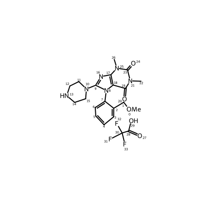 COCc1ccccc1-n1c(N2CCNCC2)nc2c1c(=O)n(C)c(=O)n2C.O=C(O)C(F)(F)F